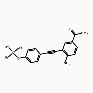 COC(=O)c1ccc([N+](=O)[O-])c(C#Cc2ccc(O[Si](C(C)C)(C(C)C)C(C)C)cc2)c1